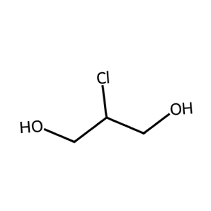 OCC(Cl)CO